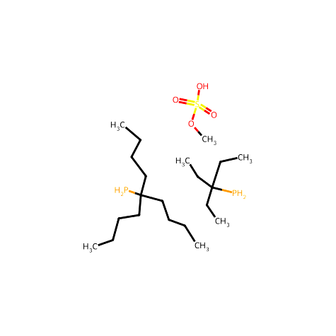 CCC(P)(CC)CC.CCCCC(P)(CCCC)CCCC.COS(=O)(=O)O